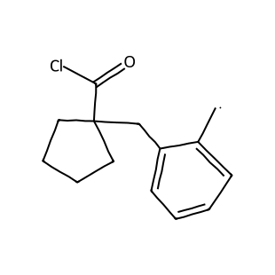 [CH2]c1ccccc1CC1(C(=O)Cl)CCCC1